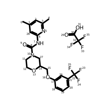 Cc1cc(C)nc(NC(=O)N2CCOC(COc3cccc(C(F)(F)F)c3)C2)c1.O=C(O)C(F)(F)F